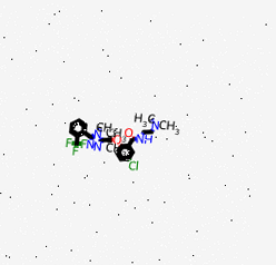 CN(C)CCNC(=O)c1cc(Cl)ccc1OC(C)(C)c1nnc(-c2ccccc2C(F)(F)F)n1C